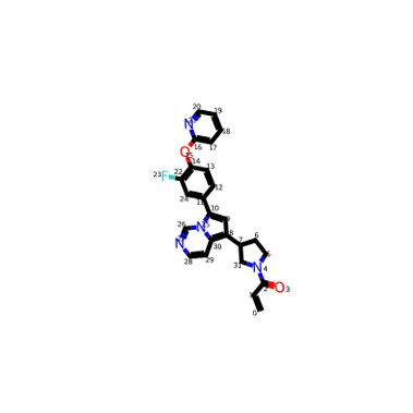 C=CC(=O)N1CCC(c2cc(-c3ccc(Oc4ccccn4)c(F)c3)n3cnccc23)C1